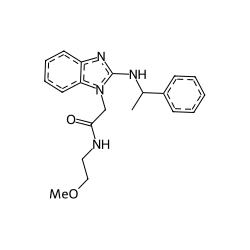 COCCNC(=O)Cn1c(NC(C)c2ccccc2)nc2ccccc21